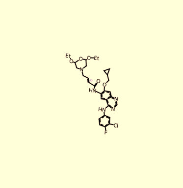 CCOC1CN(C/C=C/C(=O)Nc2cc3c(Nc4ccc(F)c(Cl)c4)ncnc3cc2OCC2CC2)CC(OCC)O1